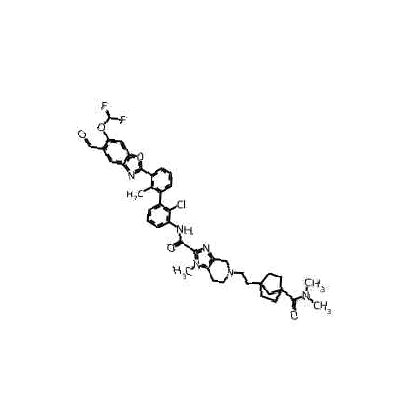 Cc1c(-c2nc3cc(C=O)c(OC(F)F)cc3o2)cccc1-c1cccc(NC(=O)c2nc3c(n2C)CCN(CCC24CCC(C(=O)N(C)C)(CC2)C4)C3)c1Cl